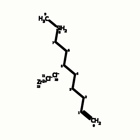 C=CCCCCCC[SiH2]C.[Cl-].[Cl-].[Zr+2]